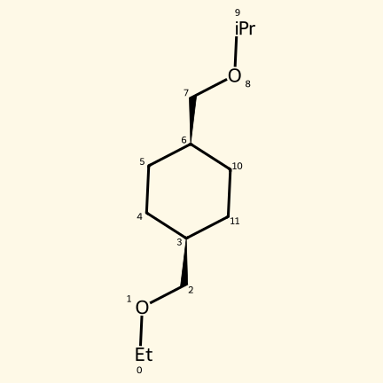 CCOC[C@H]1CC[C@@H](COC(C)C)CC1